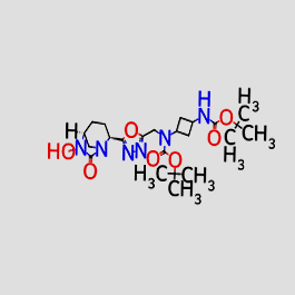 CC(C)(C)OC(=O)NC1CC(N(Cc2nnc([C@@H]3CC[C@H]4CN3C(=O)N4O)o2)C(=O)OC(C)(C)C)C1